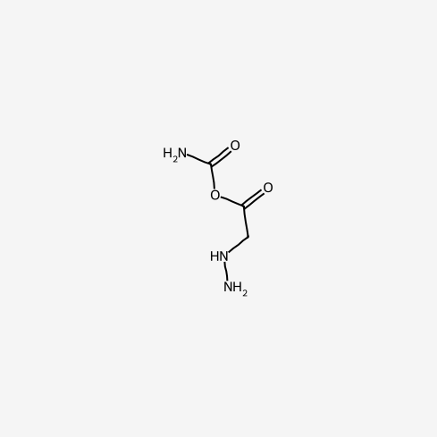 NNCC(=O)OC(N)=O